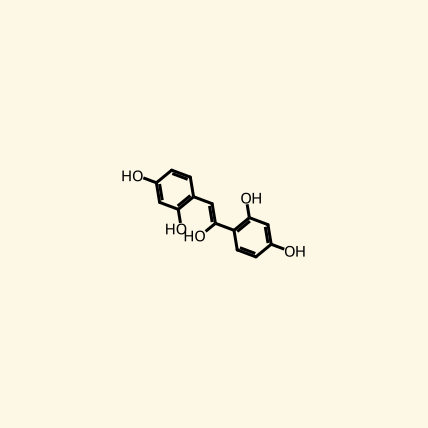 OC(=Cc1ccc(O)cc1O)c1ccc(O)cc1O